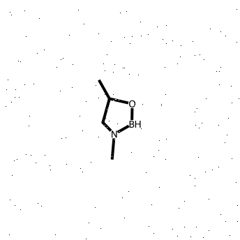 CC1CN(C)BO1